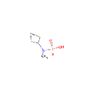 CN(C1CCC1)S(=O)(=O)O